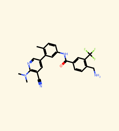 Cc1ccc(NC(=O)c2ccc(CN)c(C(F)(F)F)c2)cc1-c1cnc(N(C)C)c(C#N)c1